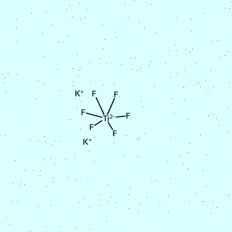 [F][Ti-2]([F])([F])([F])([F])[F].[K+].[K+]